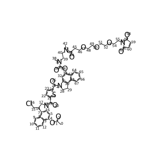 CC(=O)Oc1cc2c(c3ccccc13)C(CCl)CN2C(=O)c1ccc(C(=O)N2CCc3c2cc(OC(=O)N(C)CCN(C)C(=O)CCOCCOCCOCCN2C(=O)C=CC2=O)c2ccccc32)s1